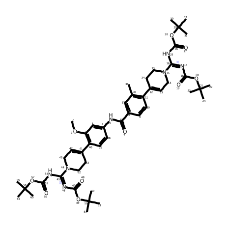 COc1cc(NC(=O)c2ccc(C3=CCN(/C(=N\C(=O)OC(C)(C)C)NC(=O)OC(C)(C)C)CC3)c(C)c2)ccc1C1=CCN(/C(=N\C(=O)OC(C)(C)C)NC(=O)OC(C)(C)C)CC1